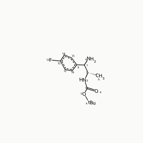 C[C@H](NC(=O)OC(C)(C)C)C(N)c1ccc(F)cc1